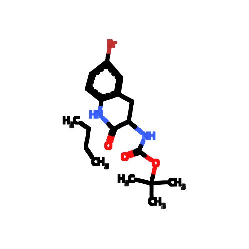 CC(C)(C)OC(=O)NC1Cc2cc(Br)ccc2NC1=O.CCCC